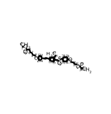 C=COC(=O)CCCCCOc1ccc(C#Cc2ccc(C(=O)Sc3ccc(OCCCCOC(=O)C=C)cc3)c(CC)c2)cc1